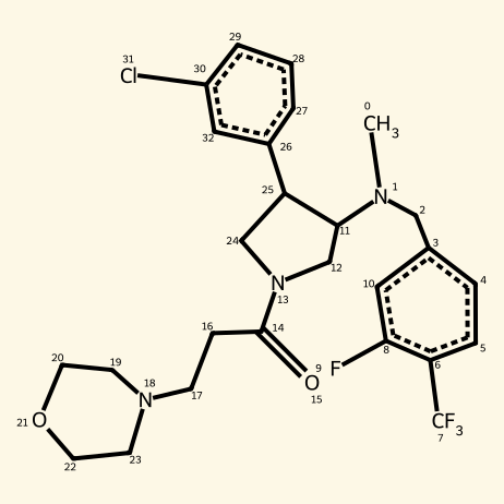 CN(Cc1ccc(C(F)(F)F)c(F)c1)C1CN(C(=O)CCN2CCOCC2)CC1c1cccc(Cl)c1